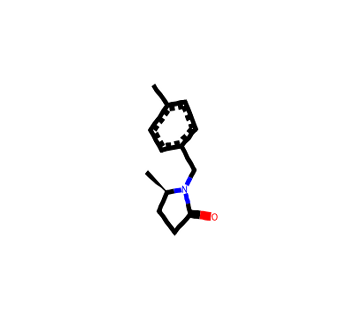 Cc1ccc(CN2C(=O)CC[C@H]2C)cc1